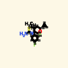 C[C@H]1SC(N)=N[C@@]2(c3ccc(F)cc3F)CO[C@@H](C3CC3)C[C@@H]12